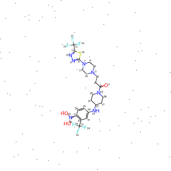 O=C(CCN1CCN(c2nnc(C(F)(F)F)s2)CC1)N1CCC(Nc2ccc(N(O)O)c(C(F)(F)F)c2)CC1